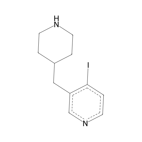 Ic1ccncc1CC1CCNCC1